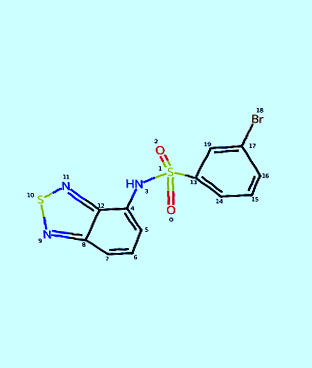 O=S(=O)(Nc1cccc2nsnc12)c1cccc(Br)c1